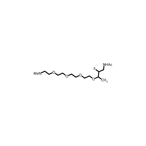 CNCCOCCOCCOCCOC(C)C(F)CNC(C)=O